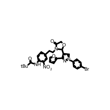 CC(C)(C)C(=O)Nc1ccc(CCN2C(=O)COC2c2cn(-c3ccc(Br)cc3)nc2-c2ccco2)cc1[N+](=O)[O-]